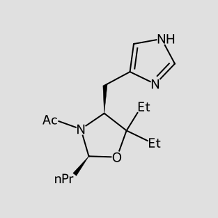 CCC[C@@H]1OC(CC)(CC)[C@H](Cc2c[nH]cn2)N1C(C)=O